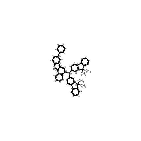 CC1(C)c2ccccc2-c2ccc(N(c3ccc4c(c3)C(C)(C)c3ccccc3-4)c3cc4c5cc(-c6ccccc6)ccc5oc4c4ccccc34)cc21